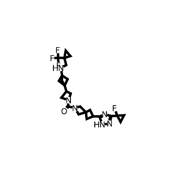 O=C(N1CC(C23CC(NCC4(C(F)(F)F)CC4)(C2)C3)C1)N1CC2(CC(c3nc(C4(F)CC4)n[nH]3)C2)C1